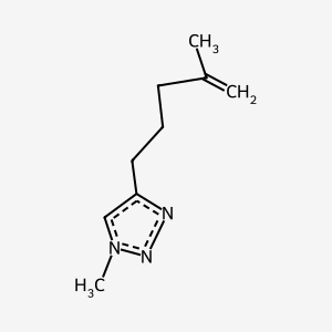 C=C(C)CCCc1cn(C)nn1